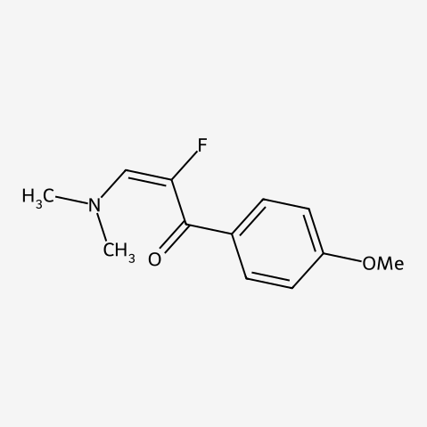 COc1ccc(C(=O)/C(F)=C\N(C)C)cc1